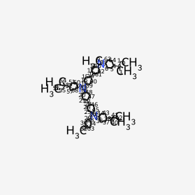 CCC(C)c1ccc(N(C)c2ccc(-c3ccc(N(c4ccc(-c5ccc(N(c6ccc(C)cc6)c6ccc(C(C)CC)cc6)cc5)cc4)c4ccc(C(C)CC)cc4)cc3)cc2)cc1